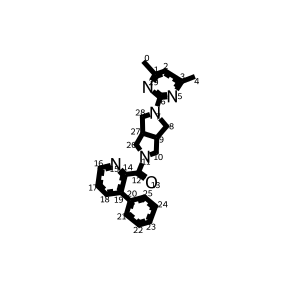 Cc1cc(C)nc(N2CC3CN(C(=O)c4ncccc4-c4ccccc4)CC3C2)n1